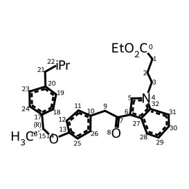 CCOC(=O)CCCn1cc(C(=O)Cc2ccc(O[C@H](C)c3ccc(CC(C)C)cc3)cc2)c2ccccc21